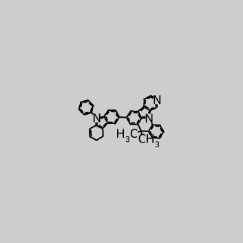 CC1(C)c2ccccc2-n2c3cnccc3c3cc(-c4ccc5c(c4)c4c(n5-c5ccccc5)C=CCC4)cc1c32